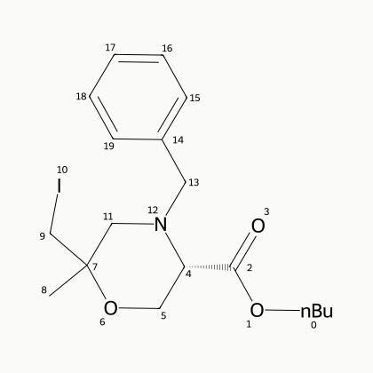 CCCCOC(=O)[C@@H]1COC(C)(CI)CN1Cc1ccccc1